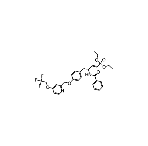 CCOP(=O)(/C=C/[C@@H](Cc1ccc(OCc2cc(OCC(F)(F)F)ccn2)cc1)NC(=O)c1ccccc1)OCC